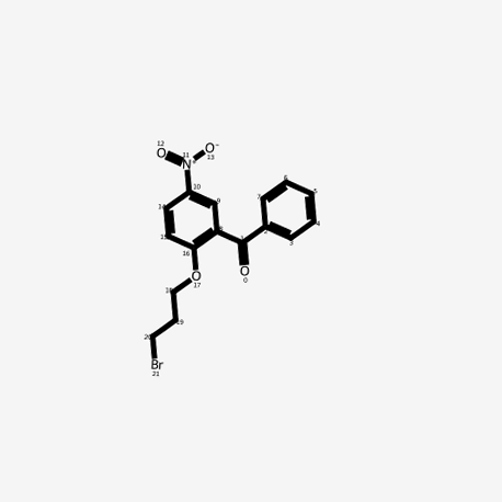 O=C(c1ccccc1)c1cc([N+](=O)[O-])ccc1OCCCBr